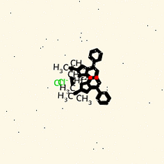 CC(C)(C)C1=Cc2c(-c3ccccc3)cccc2[CH]1[Hf+2]1([CH]2C(C(C)(C)C)=Cc3c(-c4ccccc4)cccc32)[CH2][CH2]1.[Cl-].[Cl-]